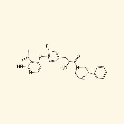 Cc1c[nH]c2nccc(Oc3ccc(C[C@H](N)C(=O)N4CCOC(c5ccccc5)C4)cc3F)c12